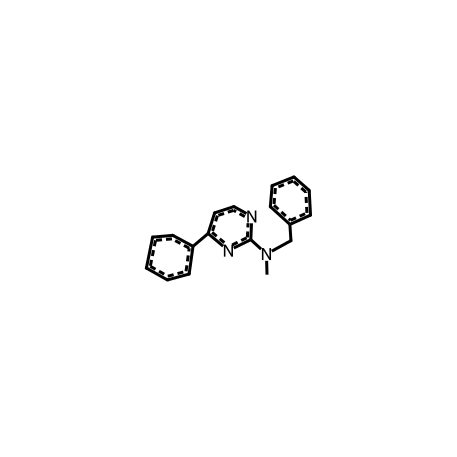 CN(Cc1ccccc1)c1nccc(-c2ccccc2)n1